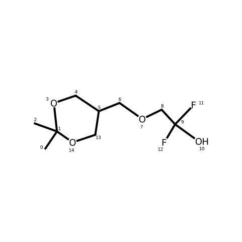 CC1(C)OCC(COCC(O)(F)F)CO1